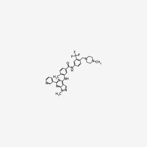 Cc1ccc(C(=O)Nc2ccc(CN3CCN(C)CC3)c(C(F)(F)F)c2)cc1Nc1nc(-c2cccnc2)nc2c1cnn2C